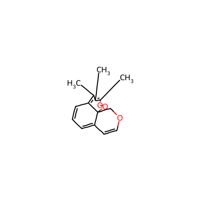 CC1=C(C)C(C)=C2C=CC=C3C=COCC32OO1